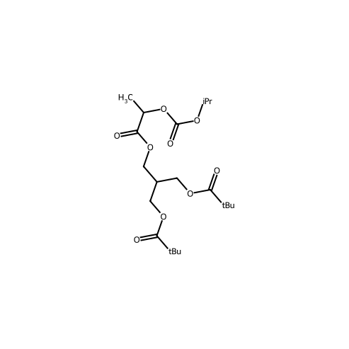 CC(C)OC(=O)OC(C)C(=O)OCC(COC(=O)C(C)(C)C)COC(=O)C(C)(C)C